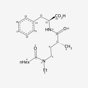 CCCCCCC(=O)N(CC)CC[C@@H](C)C(=O)N[C@@H](Cc1ccccc1)C(=O)O